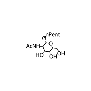 CCCCCO[C@@H]1O[C@H](CO)[C@H](O)[C@H](O)[C@H]1NC(C)=O